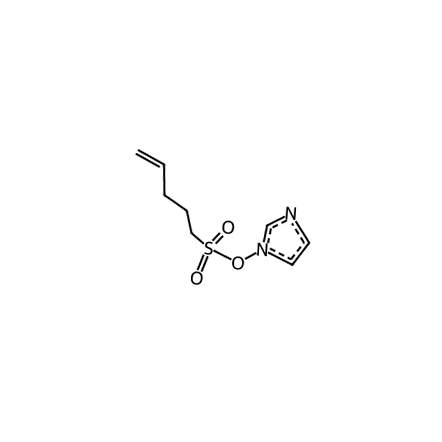 C=CCCCS(=O)(=O)On1ccnc1